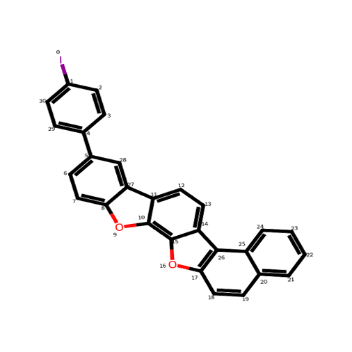 Ic1ccc(-c2ccc3oc4c(ccc5c4oc4ccc6ccccc6c45)c3c2)cc1